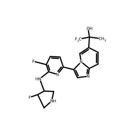 CC(O)(c1ccc2ncc(-c3ccc(F)c(NC4CNCC4F)n3)n2c1)C(F)(F)F